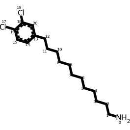 NCCCCCCCCCCCCc1ccc(Cl)c(Cl)c1